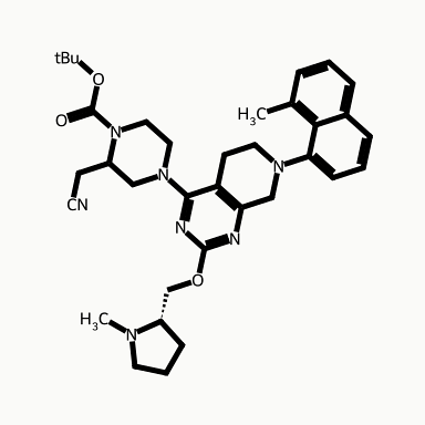 Cc1cccc2cccc(N3CCc4c(nc(OC[C@@H]5CCCN5C)nc4N4CCN(C(=O)OC(C)(C)C)C(CC#N)C4)C3)c12